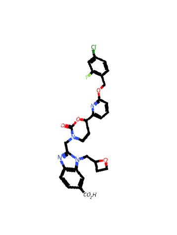 O=C(O)c1ccc2nc(CN3CCC(c4cccc(OCc5ccc(Cl)cc5F)n4)OC3=O)n(CC3CCO3)c2c1